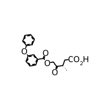 C[C@@H](CC(=O)O)C(=O)COC(=O)c1cccc(Oc2ccccc2)c1